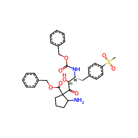 CS(=O)(=O)c1ccc(C[C@@H](NC(=O)OCc2ccccc2)[C@H](O)C(=O)C2(C(=O)OCc3ccccc3)CCCC2N)cc1